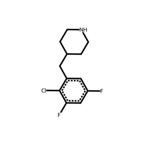 Fc1cc(F)c(Cl)c(CC2CCNCC2)c1